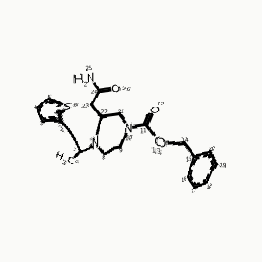 CC(c1cccs1)N1CCN(C(=O)OCc2ccccc2)CC1CC(N)=O